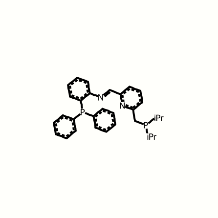 CC(C)P(Cc1cccc(C=Nc2ccccc2P(c2ccccc2)c2ccccc2)n1)C(C)C